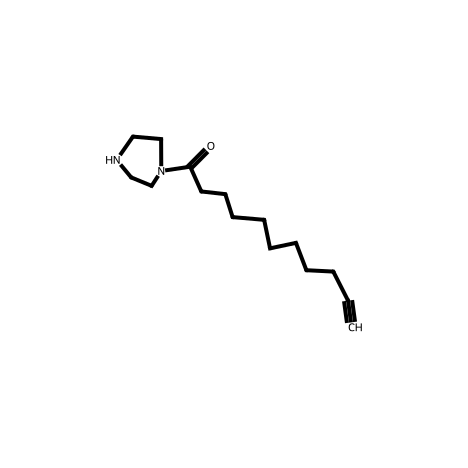 C#CCCCCCCCCC(=O)N1CCNCC1